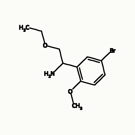 CCOCC(N)c1cc(Br)ccc1OC